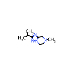 CC(C)c1nc2n(n1)CCN(C)C2